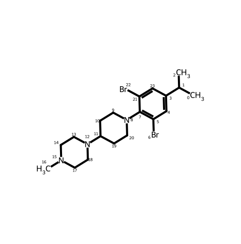 CC(C)c1cc(Br)c(N2CCC(N3CCN(C)CC3)CC2)c(Br)c1